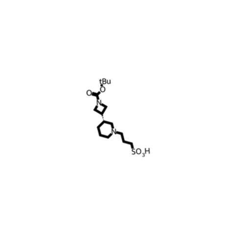 CC(C)(C)OC(=O)N1CC([C@H]2CCCN(CCCS(=O)(=O)O)C2)C1